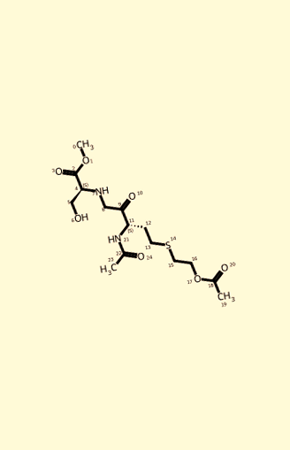 COC(=O)[C@H](CO)NCC(=O)[C@H](CCSCCOC(C)=O)NC(C)=O